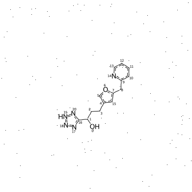 OC(CCc1coc(Cc2ccccn2)c1)c1nn[nH]n1